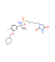 C[C@@H](NS(=O)(=O)CCCCCN1CC(=O)NC1=O)c1ccc(F)c(OCC2CCCCC2)c1